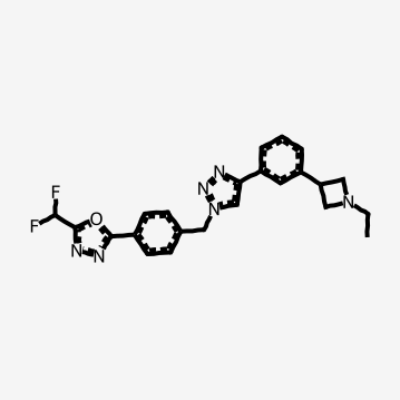 CCN1CC(c2cccc(-c3cn(Cc4ccc(-c5nnc(C(F)F)o5)cc4)nn3)c2)C1